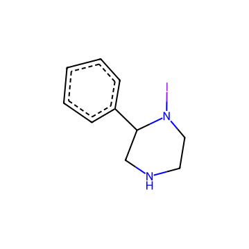 IN1CCNCC1c1ccccc1